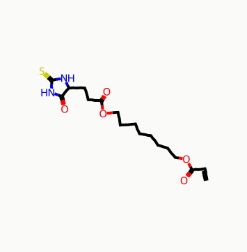 C=CC(=O)OCCCCCCCCOC(=O)CCC1NC(=S)NC1=O